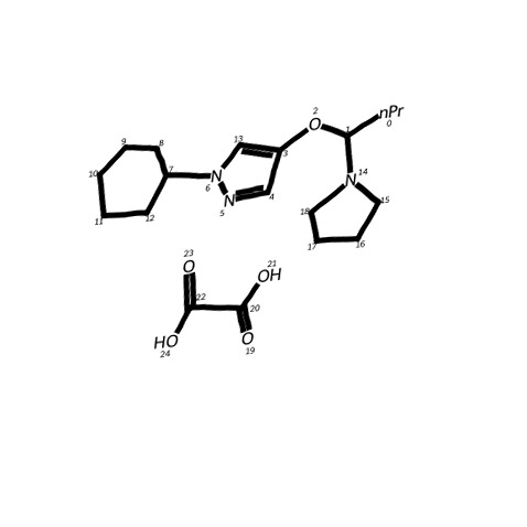 CCCC(Oc1cnn(C2CCCCC2)c1)N1CCCC1.O=C(O)C(=O)O